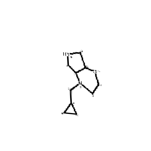 C1CN(CC2CC2)C2CNCC2O1